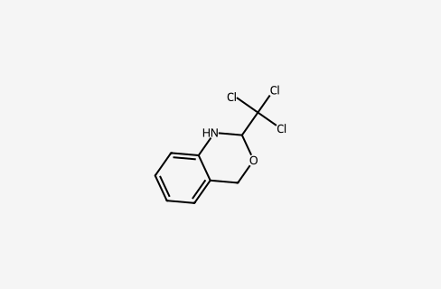 ClC(Cl)(Cl)C1Nc2ccccc2CO1